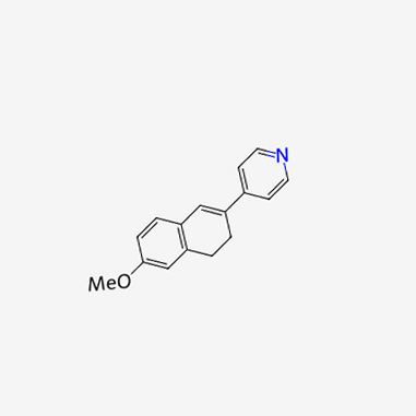 COc1ccc2c(c1)CCC(c1ccncc1)=C2